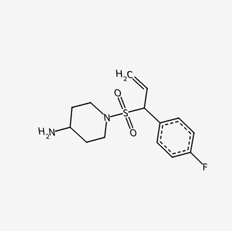 C=CC(c1ccc(F)cc1)S(=O)(=O)N1CCC(N)CC1